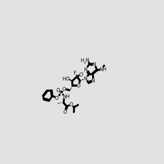 CNc1nc(N)nc2c1ncn2[C@@H]1O[C@H](COP(=O)(N[C@@H](C)C(=O)OC(C)C)Oc2ccccc2)[C@@H](O)[C@@]1(F)Cl